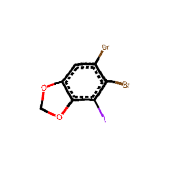 Brc1cc2c(c(I)c1Br)OCO2